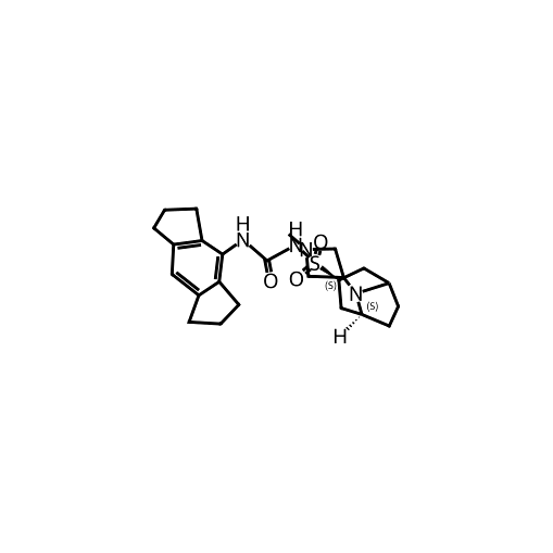 CN1CC(N2C3CC[C@H]2C[C@@H](S(=O)(=O)NC(=O)Nc2c4c(cc5c2CCC5)CCC4)C3)C1